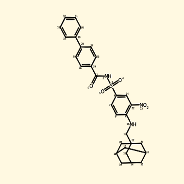 O=C(NS(=O)(=O)c1ccc(NCC23CC4CC(CC(C4)C2)C3)c([N+](=O)[O-])c1)c1ccc(-c2ccccc2)cc1